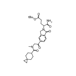 CN(CC(=O)c1ccc2c(c1)CN(C(CCC(=O)OC(C)(C)C)C(N)=O)C2=O)C(=O)C1CCC2(CC1)CC2